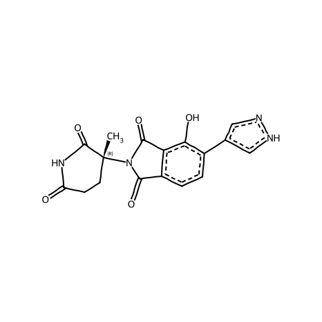 C[C@@]1(N2C(=O)c3ccc(-c4cn[nH]c4)c(O)c3C2=O)CCC(=O)NC1=O